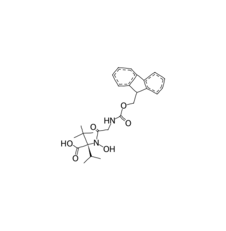 CC(C)[C@](C(=O)O)(N(O)C(=O)CNC(=O)OCC1c2ccccc2-c2ccccc21)C(C)(C)C